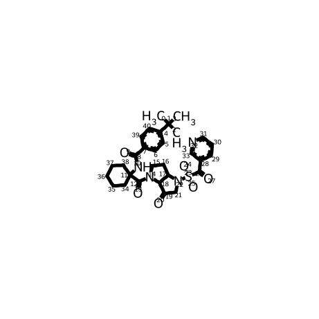 CC(C)(C)c1ccc(C(=O)NC2(C(=O)N3CCC4C3C(=O)CN4S(=O)(=O)C(=O)c3cccnc3)CCCCC2)cc1